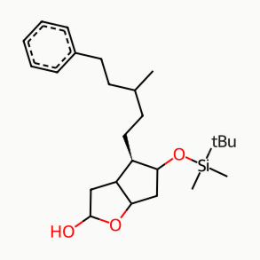 CC(CCc1ccccc1)CC[C@H]1C(O[Si](C)(C)C(C)(C)C)CC2OC(O)CC21